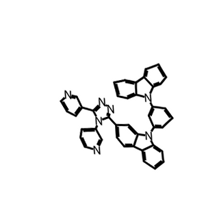 c1cncc(-c2nnc(-c3ccc4c5ccccc5n(-c5cccc(-n6c7ccccc7c7ccccc76)c5)c4c3)n2-c2cccnc2)c1